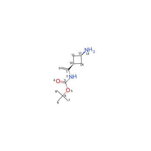 C=C(NC(=O)OC(C)(C)C)[C@H]1C[C@@H](N)C1